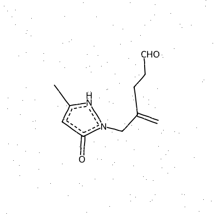 C=C(CCC=O)Cn1[nH]c(C)cc1=O